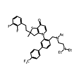 CCN(CC)CCN(Cc1ccc(-c2ccc(C(F)(F)F)cc2)cc1-n1ccc(=O)c2c1CC(C)(CCc1cccc(F)c1F)S2)C(C)=O